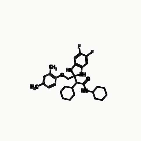 Cc1ccc(OCC2(C(C(=O)NC3CCCCC3)C3CCCCC3)Nc3cc(F)c(F)cc3N2)c(C)c1